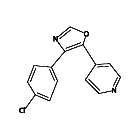 Clc1ccc(-c2ncoc2-c2ccncc2)cc1